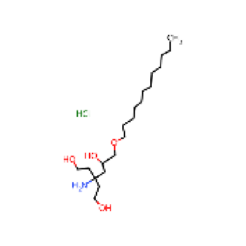 CCCCCCCCCCCCOCC(O)CC(N)(CCO)CCO.Cl